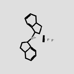 C1=CCC2CC[CH]([Zr+2][CH]3CCC4CC=CC=C43)C2=C1.C=C.[F-].[F-]